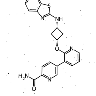 NC(=O)c1ccc(-c2cccnc2O[C@H]2C[C@H](Nc3nc4ccccc4s3)C2)cn1